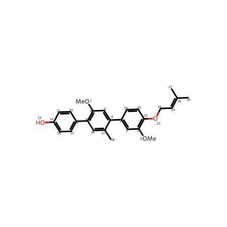 COc1cc(-c2cc(OC)c(-c3ccc(O)cc3)cc2C)ccc1OCC=C(C)C